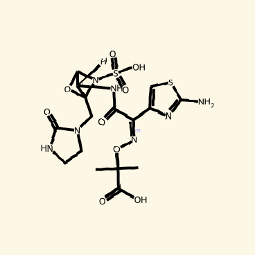 CC(C)(O/N=C(\C(=O)N[C@H]1C2OC1(CN1CCNC1=O)N2S(=O)(=O)O)c1csc(N)n1)C(=O)O